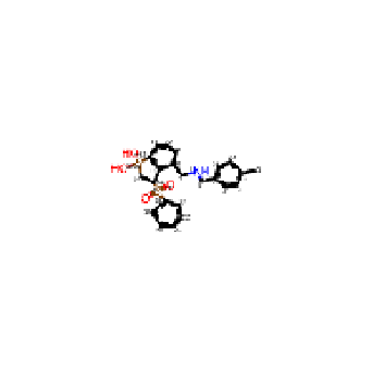 Cc1ccc(CNCc2cccc3c2C(S(=O)(=O)c2ccccc2)CS3(O)O)cc1